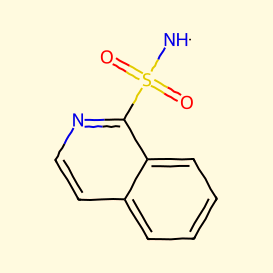 [NH]S(=O)(=O)c1nccc2ccccc12